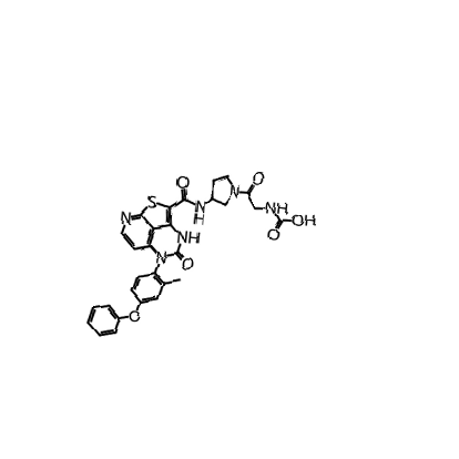 Cc1cc(Oc2ccccc2)ccc1N1C(=O)Nc2c(C(=O)NC3CCN(C(=O)CNC(=O)O)C3)sc3nccc1c23